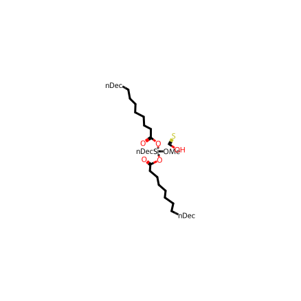 CCCCCCCCCCCCCCCCCC(=O)O[Si](CCCCCCCCCC)(OC)OC(=O)CCCCCCCCCCCCCCCCC.OC=S